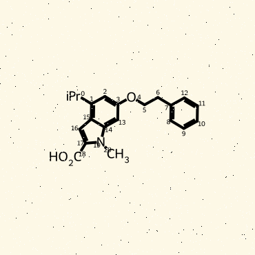 CC(C)c1cc(OCCc2ccccc2)cc2c1cc(C(=O)O)n2C